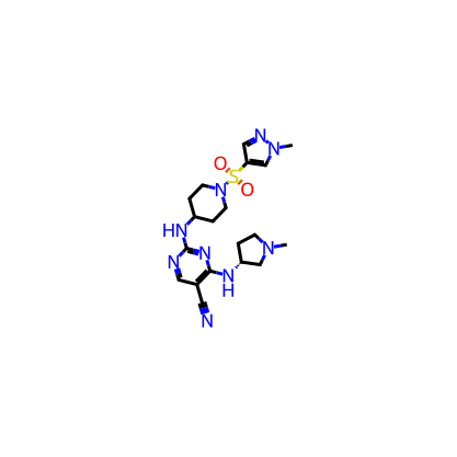 CN1CC[C@@H](Nc2nc(NC3CCN(S(=O)(=O)c4cnn(C)c4)CC3)ncc2C#N)C1